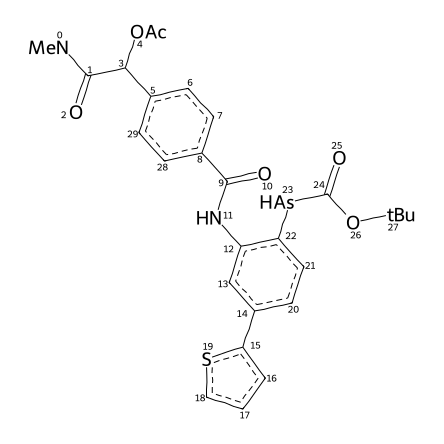 CNC(=O)C(OC(C)=O)c1ccc(C(=O)Nc2cc(-c3cccs3)ccc2[AsH]C(=O)OC(C)(C)C)cc1